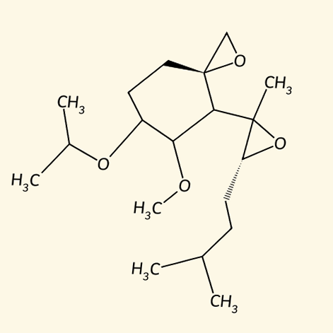 COC1C(OC(C)C)CC[C@]2(CO2)C1C1(C)O[C@@H]1CCC(C)C